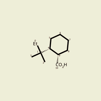 CCC(C)(C)[C@@H]1CCCC[C@@H]1C(=O)O